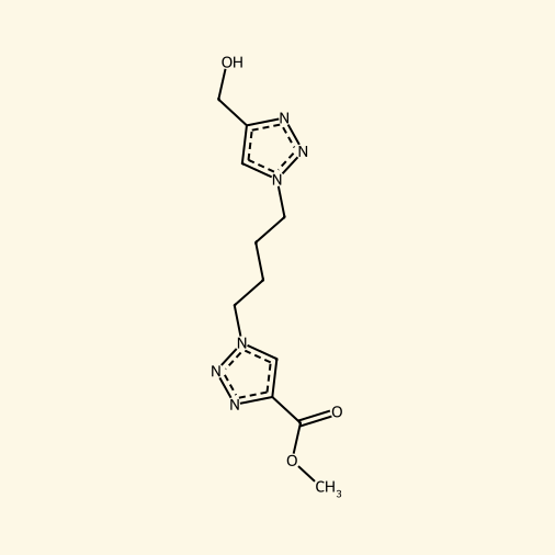 COC(=O)c1cn(CCCCn2cc(CO)nn2)nn1